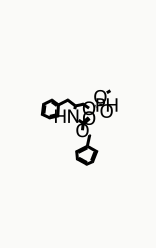 CO[PH](=O)OCC(Cc1ccccc1)NC(=O)OCc1ccccc1